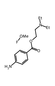 CCN(CC)CCOC(=O)c1ccc(N)cc1.COF